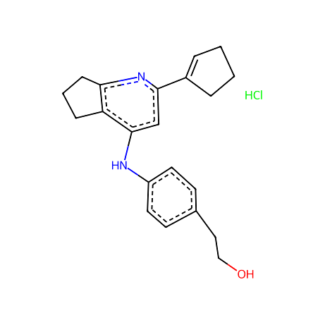 Cl.OCCc1ccc(Nc2cc(C3=CCCC3)nc3c2CCC3)cc1